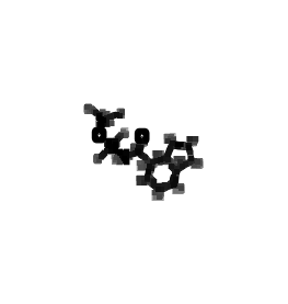 C[Si](C)O[Si](C)(C)[N]C(=O)c1cccc2c1C=CC2